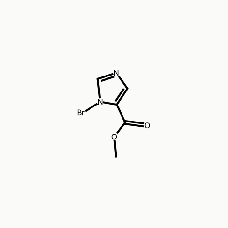 COC(=O)c1cncn1Br